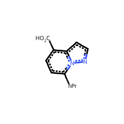 CCCc1ccc(C(=O)O)c2ccnn12